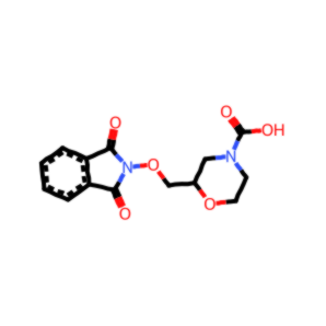 O=C(O)N1CCOC(CON2C(=O)c3ccccc3C2=O)C1